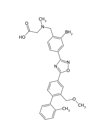 Bc1cc(-c2noc(-c3ccc(-c4ccccc4C)c(COC)c3)n2)ccc1CN(C)CC(=O)O